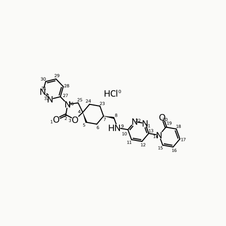 Cl.O=C1O[C@]2(CC[C@H](CNc3ccc(-n4ccccc4=O)nn3)CC2)CN1c1cccnn1